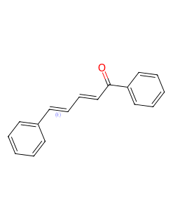 O=C(C=C/C=C/c1ccccc1)c1ccccc1